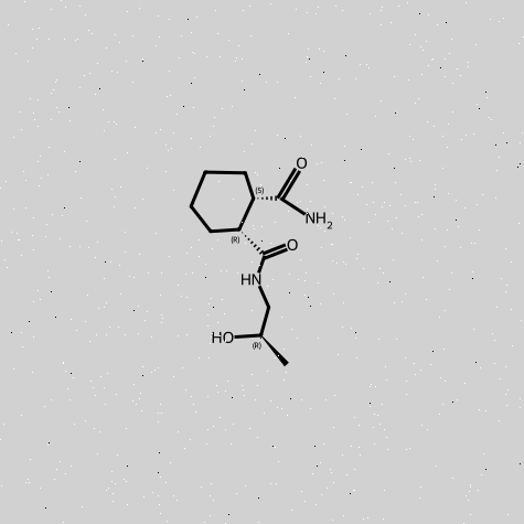 C[C@@H](O)CNC(=O)[C@@H]1CCCC[C@@H]1C(N)=O